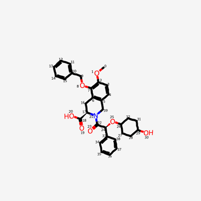 COc1ccc2c(c1OCc1ccccc1)C[C@H](C(=O)O)N(C(=O)[C@@H](OC1CCC(O)CC1)c1ccccc1)C2